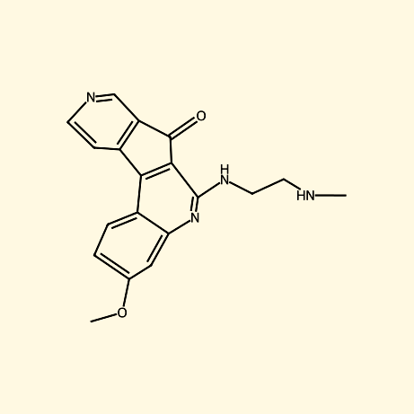 CNCCNc1nc2cc(OC)ccc2c2c1C(=O)c1cnccc1-2